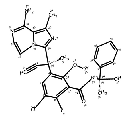 C#C[C@](C)(c1cc(Cl)c(F)c(C(=O)N[C@](C)(O)c2ccccc2)c1OC(C)C)c1nc(C)c2c(N)nccn12